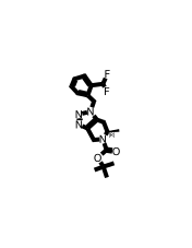 C[C@@H]1Cc2c(nnn2Cc2ccccc2C(F)F)CN1C(=O)OC(C)(C)C